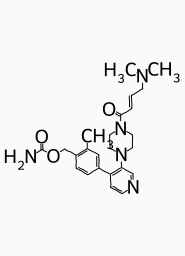 Cc1cc(-c2ccncc2N2CCN(C(=O)/C=C/CN(C)C)CC2)ccc1COC(N)=O